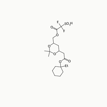 CCC1(OC(=O)CC2CC(COC(=O)C(F)(F)S(=O)(=O)O)OC(C)(C)O2)CCCCC1